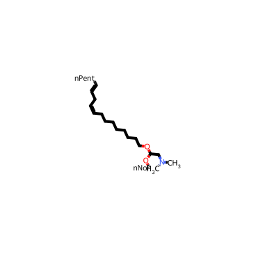 CCCCC/C=C/C/C=C\CCCCCCCCOC(CN(C)C)OCCCCCCCCC